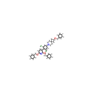 Fc1cc(N2CCC3(CC2)CC(OCc2ccccc2)C3)cc(F)c1-c1ccc(OCc2ccccc2)nc1OCc1ccccc1